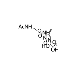 C#Cc1cn([C@@H]2O[C@H](C)C(O)C2O)c(=O)nc1NC(=O)OCCCNC(C)=O